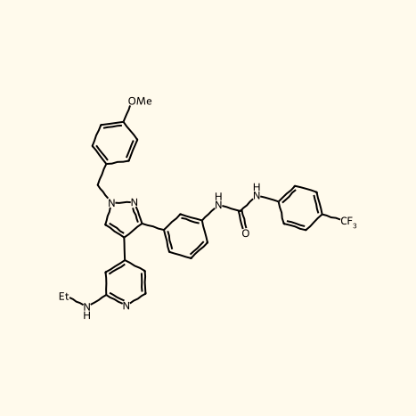 CCNc1cc(-c2cn(Cc3ccc(OC)cc3)nc2-c2cccc(NC(=O)Nc3ccc(C(F)(F)F)cc3)c2)ccn1